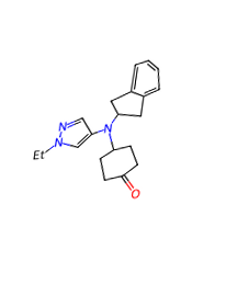 CCn1cc(N(C2CCC(=O)CC2)C2Cc3ccccc3C2)cn1